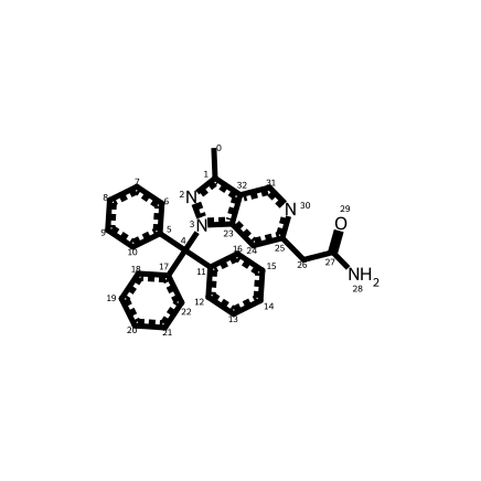 Cc1nn(C(c2ccccc2)(c2ccccc2)c2ccccc2)c2cc(CC(N)=O)ncc12